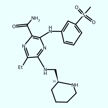 CCc1nc(C(N)=O)c(Nc2cccc(S(C)(=O)=O)c2)nc1NC[C@@H]1CCCCN1